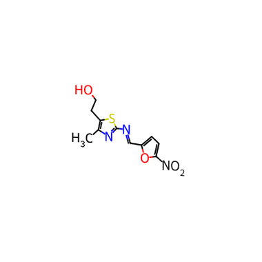 Cc1nc(N=Cc2ccc([N+](=O)[O-])o2)sc1CCO